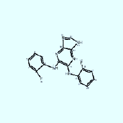 Fc1ccccc1Nc1nc2nc[nH]c2nc1Nc1ccccc1F